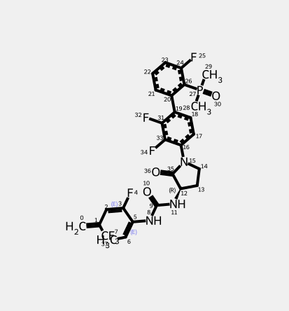 C=C(/C=C(F)\C(=C/C)NC(=O)N[C@@H]1CCN(c2ccc(-c3cccc(F)c3P(C)(C)=O)c(F)c2F)C1=O)C(F)(F)F